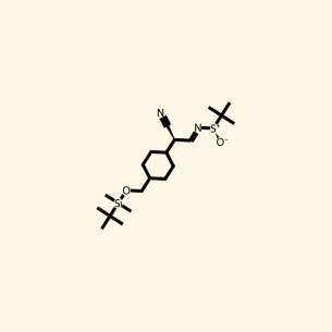 CC(C)(C)[S@+]([O-])/N=C/[C@H](C#N)C1CCC(CO[Si](C)(C)C(C)(C)C)CC1